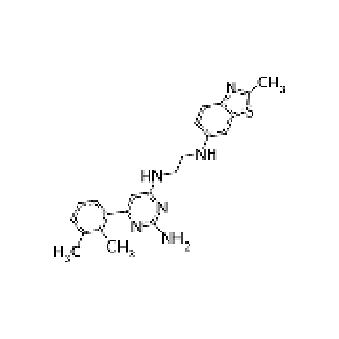 Cc1nc2ccc(NCCNc3cc(-c4cccc(C)c4C)nc(N)n3)cc2s1